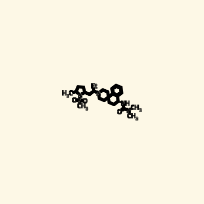 CCC(CC1CCC(C)N1S(C)(=O)=O)N1CCC2(CC[C@@H](NC(=O)N(C)C)c3ccccc32)CC1